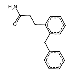 NC(=O)CCc1ccccc1Cc1ccccc1